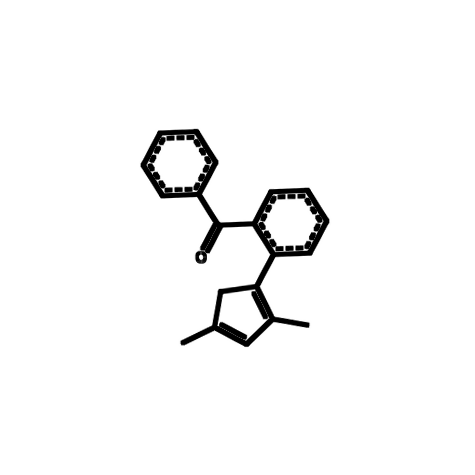 CC1=CC(C)=C(c2ccccc2C(=O)c2ccccc2)C1